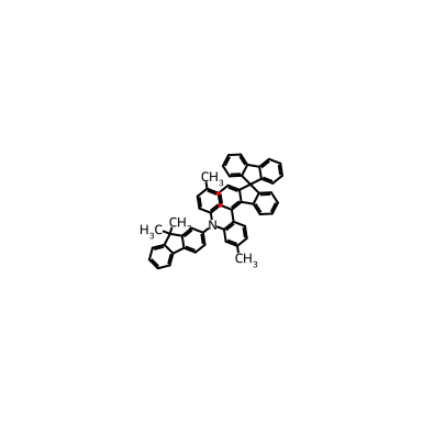 Cc1ccc(N(c2ccc3c(c2)C(C)(C)c2ccccc2-3)c2cc(C)ccc2-c2cccc3c2-c2ccccc2C32c3ccccc3-c3ccccc32)cc1